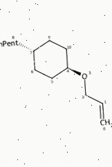 C=CCO[C@H]1CC[C@H](CCCCC)CC1